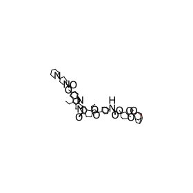 CCc1c2c(nc3ccc(OC(=O)N4CCC(N5CCCCC5)CC4)cc13)-c1cc3c(c(=O)n1C2)CCC(=O)[C@@]3(CC)OCc1ccc(NC(=O)OC2CCC[C@]3(C2)OOC2(O3)C3CC4CC(C3)CC2C4)cc1